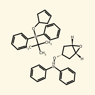 CC(C)(C)[Si](OC1CC=CC1)(c1ccccc1)c1ccccc1.c1ccc([SiH](O[C@@H]2C[C@@H]3O[C@@H]3C2)c2ccccc2)cc1